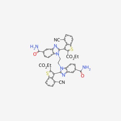 CCOC(=O)c1sc2cccc(C#N)c2c1-c1nc2cc(C(N)=O)ccc2n1CCn1c(-c2c(C(=O)OCC)sc3cccc(C#N)c23)nc2cc(C(N)=O)ccc21